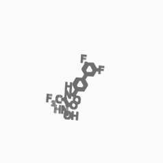 O=C(NC(C(=O)NO)C(F)(F)F)c1ccc(-c2cc(F)cc(F)c2)cc1